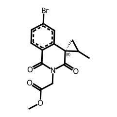 COC(=O)CN1C(=O)c2ccc(Br)cc2[C@]2(CC2C)C1=O